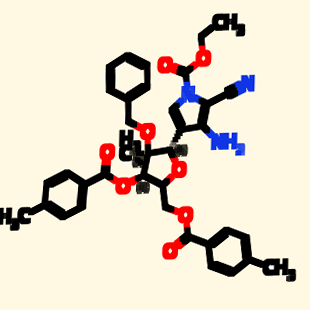 CCOC(=O)n1cc([C@@H]2OC(COC(=O)c3ccc(C)cc3)[C@@H](OC(=O)c3ccc(C)cc3)[C@@]2(C)OCc2ccccc2)c(N)c1C#N